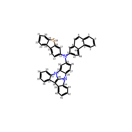 c1ccc2c(c1)ccc1cc(N(c3ccc4c(c3)sc3ccccc34)c3ccc4c(c3)n3c5ccccc5c5c6ccccc6n4c53)ccc12